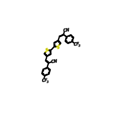 N#CC(=Cc1csc(-c2cc(C=C(C#N)c3ccc(C(F)(F)F)cc3)cs2)c1)c1ccc(C(F)(F)F)cc1